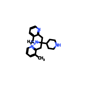 Cc1cccnc1CC(N)(Cc1ncccc1C)C1CCNCC1